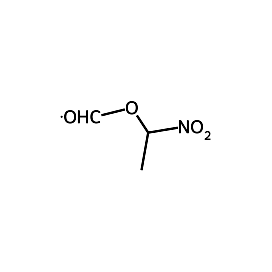 CC(O[C]=O)[N+](=O)[O-]